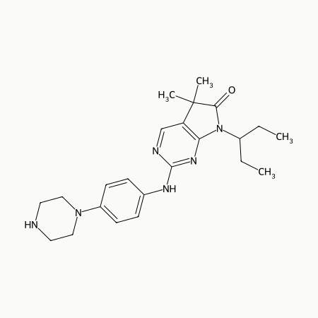 CCC(CC)N1C(=O)C(C)(C)c2cnc(Nc3ccc(N4CCNCC4)cc3)nc21